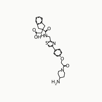 NC1CCN(C(=O)COc2ccc(-c3csc(CNC(=O)C4(CC(=O)O)Cc5ccccc5C4)n3)cc2)CC1